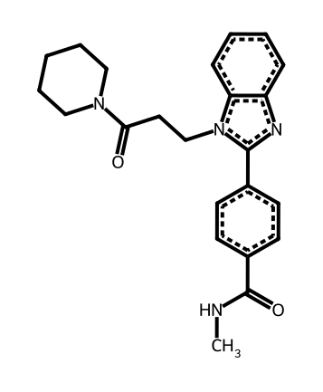 CNC(=O)c1ccc(-c2nc3ccccc3n2CCC(=O)N2CCCCC2)cc1